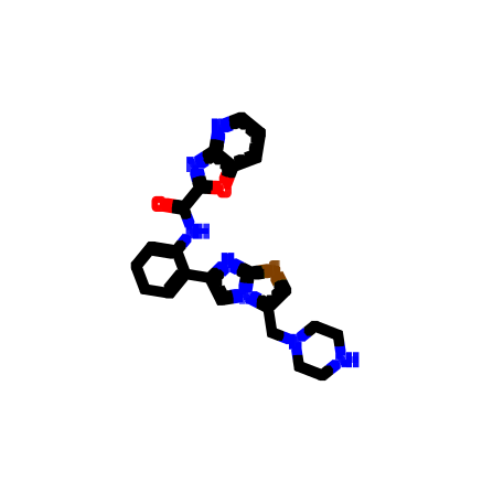 O=C(NC1=CCCC=C1c1cn2c(CN3CCNCC3)csc2n1)c1nc2ncccc2o1